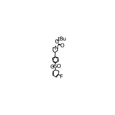 CC(C)(C)OC(=O)N1CCC(c2ccc(S(=O)(=O)C3C=CC=C(F)C3)cc2)C1